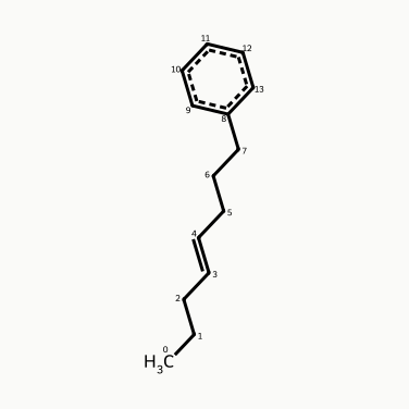 CCC/C=C/CCCc1ccccc1